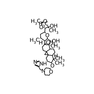 CC(=O)O[C@@H](C1C[C@@H](C)[C@H]2C(O1)[C@H](O)[C@@]1(C)C3CC[C@H]4C(C)(C)C(O[C@H]5CN(Cc6cnc[nH]6)CCO5)CCC45CC35CCC21C)C(C)(C)O